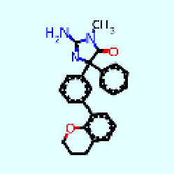 CN1C(=O)C(c2ccccc2)(c2cccc(-c3cccc4c3OCCC4)c2)N=C1N